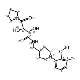 CCOc1c(F)cccc1N1CCC(CNC(=O)[C@H](O)[C@@H](O)C(=O)N2CCCC2)CC1